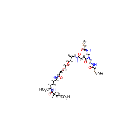 CSSCC(=O)NCCN(CCNC(=O)CSC(C)C)C(=O)CCC(=O)NCC(C)CCOCCOCCC(=O)NCCCC[C@H](NC(=O)C(C)(C)CCC(=O)O)C(=O)O